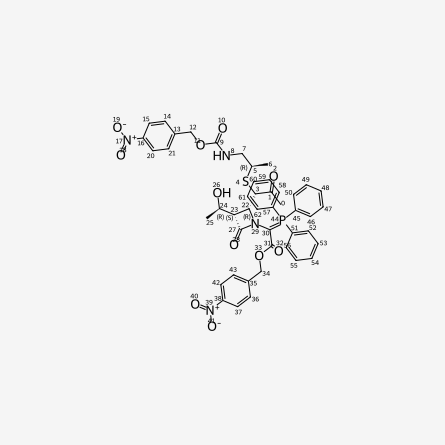 CC(=O)C(S[C@H](C)CNC(=O)OCc1ccc([N+](=O)[O-])cc1)[C@H]1[C@@H]([C@@H](C)O)C(=O)N1C(C(=O)OCc1ccc([N+](=O)[O-])cc1)=P(c1ccccc1)(c1ccccc1)c1ccccc1